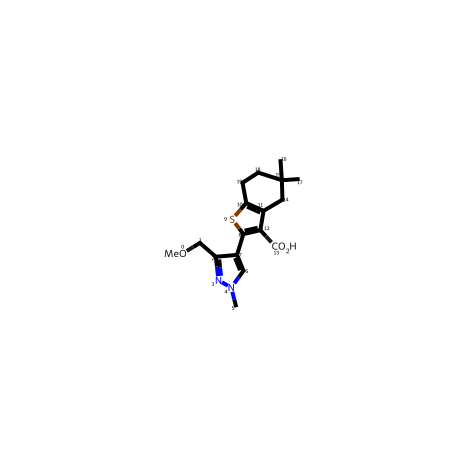 COCc1nn(C)cc1-c1sc2c(c1C(=O)O)CC(C)(C)CC2